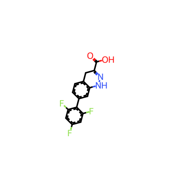 O=C(O)C1=NNc2cc(-c3c(F)cc(F)cc3F)ccc2C1